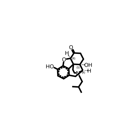 CC(C)CN1CCC23c4c5ccc(O)c4O[C@H]2C(=O)CC[C@@]3(O)[C@H]1C5